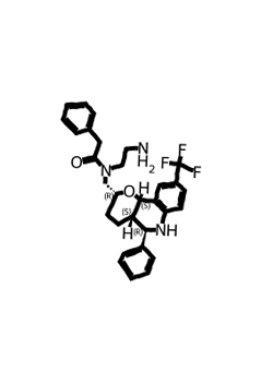 NCCN(C[C@H]1CC[C@@H]2[C@H](O1)c1cc(C(F)(F)F)ccc1N[C@H]2c1ccccc1)C(=O)Cc1ccccc1